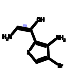 N/C=C(/O)c1scc(Br)c1N